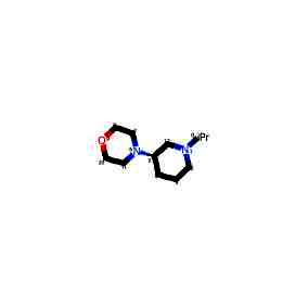 CC(C)N1CCC[C@@H](N2CCOCC2)C1